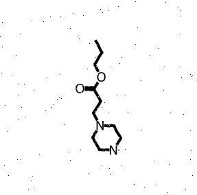 CCCOC(=O)CCN1CC[N]CC1